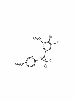 COc1ccc([C@@H]2[C@@H](c3cc(F)c(Br)c(OC)c3)C2(Cl)Cl)cc1